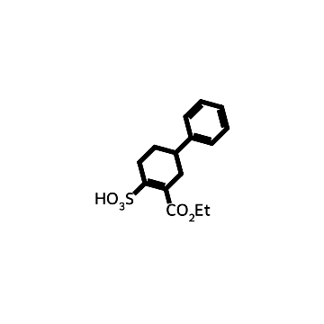 CCOC(=O)C1=C(S(=O)(=O)O)CCC(c2ccccc2)C1